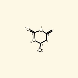 C=C1CC(CC)OC(=O)O1